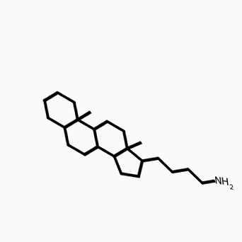 CC12CCCCC1CCC1C2CCC2(C)C(CCCCN)CCC12